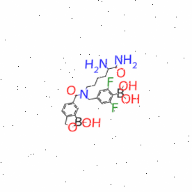 NC(=O)C(N)CCCCN(Cc1cc(F)c(B(O)O)c(F)c1)C(=O)c1ccc2c(c1)B(O)OC2